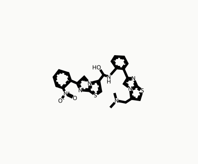 CN(C)Cc1csc2nc(-c3ccccc3NC(O)c3csc4nc(-c5ccccc5[N+](=O)[O-])cn34)cn12